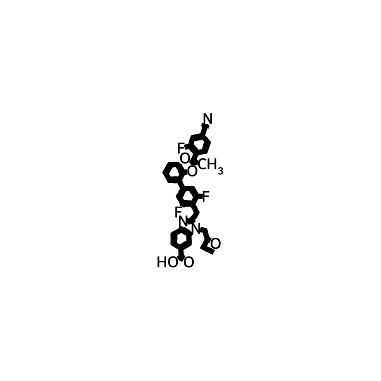 CC1(c2ccc(C#N)cc2F)Oc2cccc(-c3cc(F)c(Cc4nc5ccc(C(=O)O)cc5n4CC4CCO4)c(F)c3)c2O1